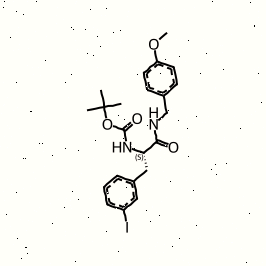 COc1ccc(CNC(=O)[C@H](Cc2cccc(I)c2)NC(=O)OC(C)(C)C)cc1